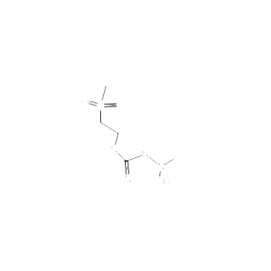 CS(=O)(=O)CCNC(=N)NN(O)O